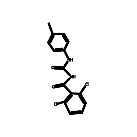 Cc1ccc(NC(=O)NC(=O)c2c(Cl)cccc2Cl)cc1